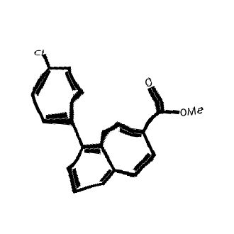 COC(=O)c1ccc2cccc(-c3ccc(Cl)cc3)c2c1